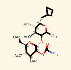 CC(=O)OC[C@H]1O[C@H](O[C@@H]2C(C)O[C@@H](CC3CCC3)[C@@H](OC(C)=O)[C@@H]2OC(C)=O)[C@@H](OC(N)=O)[C@@H](OC(C)=O)[C@@H]1OC(C)=O